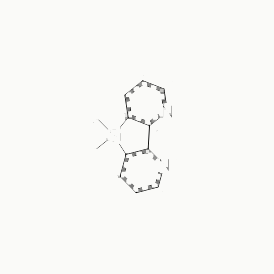 C[Si]1(C)c2cccnc2-c2ncccc21